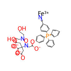 N#Cc1ccc([P+](c2ccccc2)(c2ccccc2)c2ccccc2)cc1.O=C([O-])CN(ON(CCO)CCO)C(CC(=O)[O-])(CC(=O)[O-])C(=O)[O-].[Fe+3]